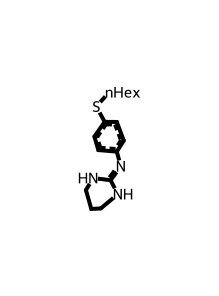 CCCCCCSc1ccc(N=C2NCCCN2)cc1